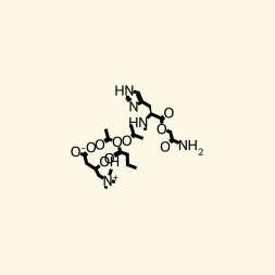 CC(C)=O.CCCC(=O)OC(C)=O.CN[C@@H](Cc1c[nH]cn1)C(=O)OCC(N)=O.C[N+](C)(C)CC(O)CC(=O)[O-]